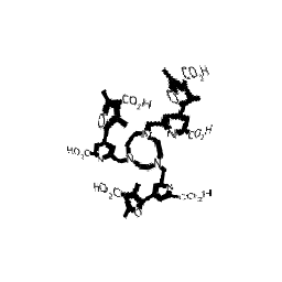 Cc1oc(-c2cc(CN3CCN(Cc4cc(-c5oc(C)c(C(=O)O)c5C)cc(C(=O)O)n4)CCN(Cc4cc(-c5oc(C)c(C(=O)O)c5C)cc(C(=O)O)n4)CC3)nc(C(=O)O)c2)c(C)c1C(=O)O